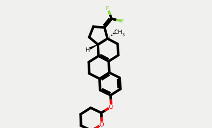 C[C@]12CCC3=C(CCc4cc(OC5CCCCO5)ccc43)[C@@H]1CCC2=C(F)F